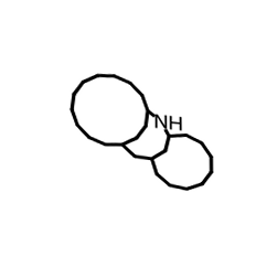 C1CCCCCC2CCC(CCCC1)CC1CCCCCCCCC(C1)N2